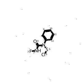 O=C(NF)N(SCl)c1ccccc1